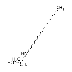 CCCCCCCCCCCCCCCCCCCCCCNCCC[N+](C)(C)CCO